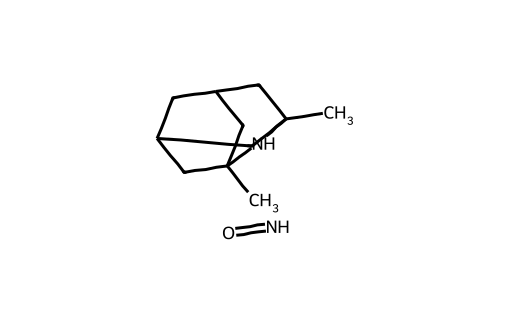 CC12CC3CC(C1)CC(C)(C3)N2.N=O